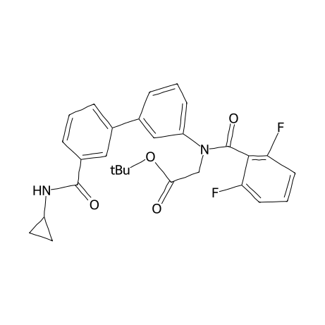 CC(C)(C)OC(=O)CN(C(=O)c1c(F)cccc1F)c1cccc(-c2cccc(C(=O)NC3CC3)c2)c1